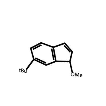 COC1C=Cc2ccc(C(C)(C)C)cc21